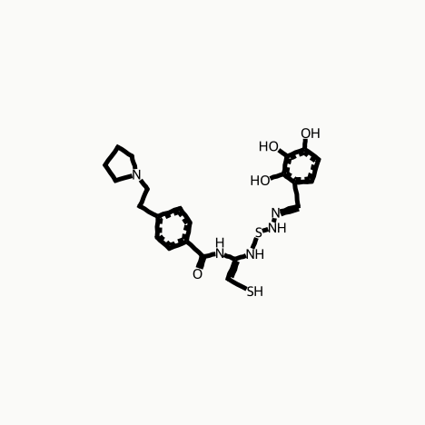 O=C(N/C(=C/S)NSN/N=C/c1ccc(O)c(O)c1O)c1ccc(CCN2CCCC2)cc1